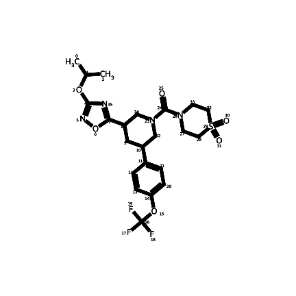 CC(C)Oc1noc(C2CC(c3ccc(OC(F)(F)F)cc3)CN(C(=O)N3CCS(=O)(=O)CC3)C2)n1